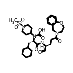 CS(=O)(=O)N1CCC(N(C(=O)O)[C@@H](CC2CCCCC2)C(=O)N[C@H](C=O)CCC(=O)N2CCOc3ccccc3C2)CC1